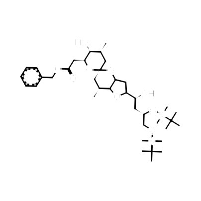 C[C@H]1C[C@@]2(C[C@H](C)[C@H](O)[C@H](CC(=O)OCc3ccccc3)O2)OC2CC([C@@H](O)C[C@H](CO[Si](C)(C)C(C)(C)C)O[Si](C)(C)C(C)(C)C)OC21